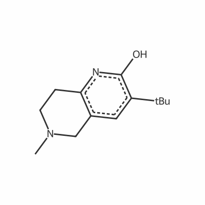 CN1CCc2nc(O)c(C(C)(C)C)cc2C1